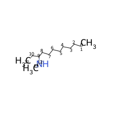 CCCCCCCCCC(CC)NC